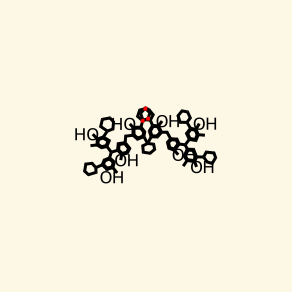 Cc1cc(C(c2cc(C)c(O)c(C3CCCCC3)c2)c2cc(Cc3cc(C4(c5cc(Cc6ccc(O)c(C(c7cc(C)c(O)c(C8CCCCC8)c7)c7cc(C)c(O)c(C8CCCCC8)c7)c6)c(O)c(C6CCCCC6)c5)CCCCC4)cc(C4CCCCC4)c3O)ccc2O)cc(C2CCCCC2)c1O